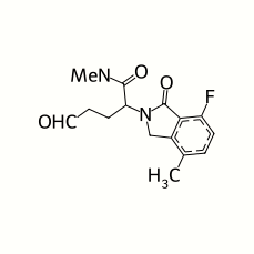 CNC(=O)C(CCC=O)N1Cc2c(C)ccc(F)c2C1=O